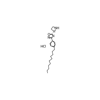 CCCCCCCCCCCc1ccc(-c2noc([C@@H]3CCNC3)n2)cc1.Cl